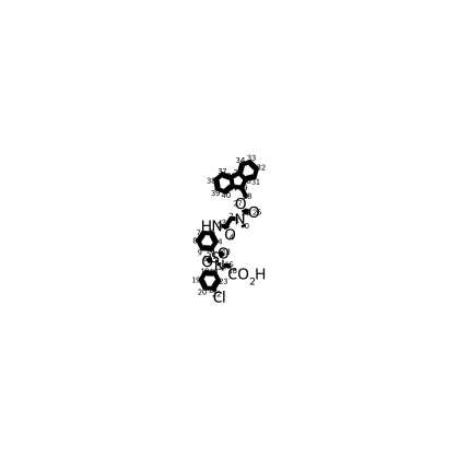 CN(CC(=O)Nc1cccc(S(=O)(=O)N(CC(=O)O)c2cccc(Cl)c2)c1)C(=O)OCC1c2ccccc2-c2ccccc21